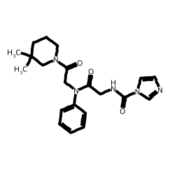 CC1(C)CCCN(C(=O)CN(C(=O)CNC(=O)n2ccnc2)c2ccccc2)C1